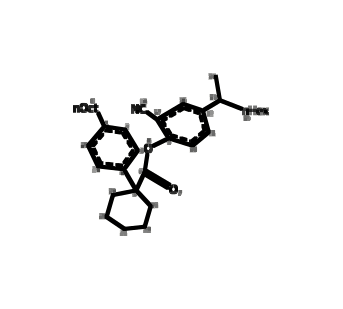 CCCCCCCCc1ccc(C2(C(=O)Oc3ccc(C(C)CCCCCC)cc3C#N)CCCCC2)cc1